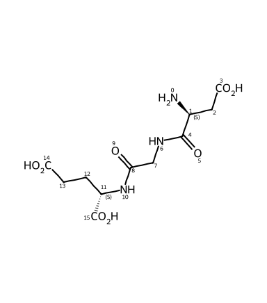 N[C@@H](CC(=O)O)C(=O)NCC(=O)N[C@@H](CCC(=O)O)C(=O)O